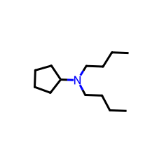 CCCCN(CCCC)C1CCCC1